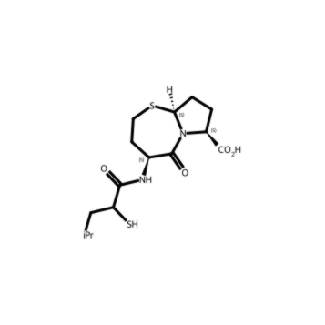 CC(C)CC(S)C(=O)N[C@H]1CCS[C@H]2CC[C@@H](C(=O)O)N2C1=O